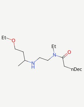 CCCCCCCCCCCC(=O)N(CC)CCNC(C)CCOCC